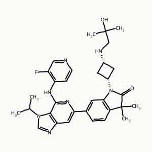 CC(C)n1cnc2cc(-c3ccc4c(c3)N([C@H]3C[C@@H](NCC(C)(C)O)C3)C(=O)C4(C)C)nc(Nc3ccncc3F)c21